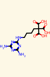 Nc1nc(N)nc(NCCCCC(C(=O)O)(C(=O)O)C(=O)O)n1